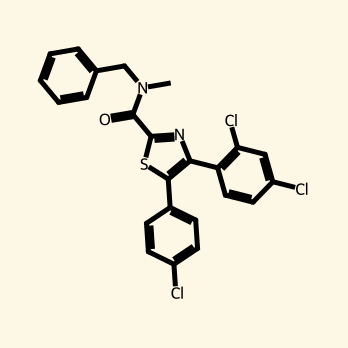 CN(Cc1ccccc1)C(=O)c1nc(-c2ccc(Cl)cc2Cl)c(-c2ccc(Cl)cc2)s1